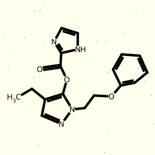 CCc1cnn(CCOc2ccccc2)c1OC(=O)c1ncc[nH]1